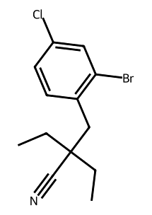 CCC(C#N)(CC)Cc1ccc(Cl)cc1Br